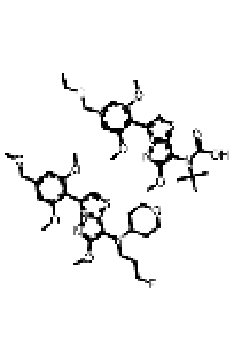 CCOCc1cc(OC)c(-c2csc3c(N(C(=O)O)C(C)(C)C)c(OC)nn23)c(OC)c1.COCc1cc(OC)c(-c2csc3c(N(CCCF)C4CCOCC4)c(OC)nn23)c(OC)c1